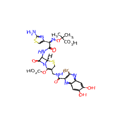 CC(C)(O/N=C(\C(=O)NC1C(=O)N2C(OC(=O)O)=C(CNC(=O)c3nc4cc(O)c(O)cc4nc3Br)CS[C@@H]12)c1csc(N)n1)C(=O)O